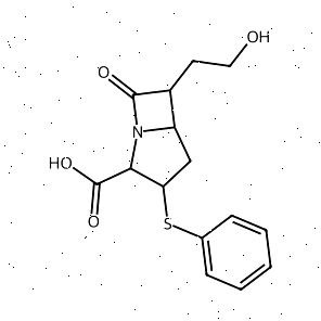 O=C(O)C1C(Sc2ccccc2)CC2C(CCO)C(=O)N21